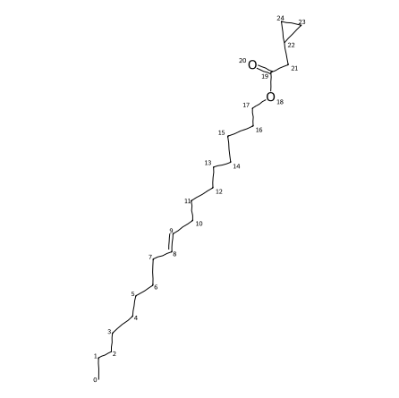 CCCCCCCC/C=C/CCCCCCCCOC(=O)CC1CC1